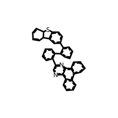 C1=CC2Sc3ccc(-c4ccccc4-c4ccccc4-c4cnc5c6ccccc6c6ccccc6c5n4)cc3C2C=C1